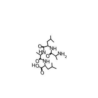 CC(C)CC(NC(=O)C(C)NC(=O)C(CC(C)C)NC(=O)C(C)N)C(=O)O